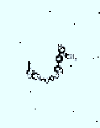 Cn1c2ccncc2c2ccc(-c3ccc(O[C@H]4C[C@H](OCCN5CCC6(CC5)CNCCO6)C4)nc3)cc21